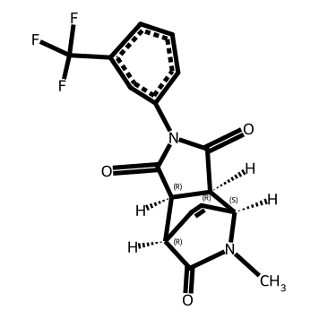 CN1C(=O)[C@@H]2C=C[C@H]1[C@@H]1C(=O)N(c3cccc(C(F)(F)F)c3)C(=O)[C@@H]12